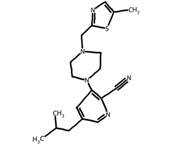 Cc1cnc(CN2CCN(c3cc(CC(C)C)cnc3C#N)CC2)s1